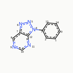 c1ccc(-n2nnc3cncnc32)cc1